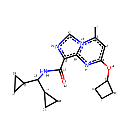 Cc1cc(OC2CCC2)nc2c(C(=O)NC(C3CC3)C3CC3)ncn12